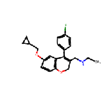 CCNCC1=C(c2ccc(F)cc2)c2cc(OCC3CC3)ccc2OC1